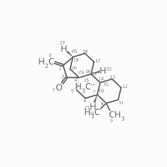 C=C1C(=O)[C@]23CC[C@H]4C(C)(C)CCC[C@]4(C)[C@H]2CC[C@@H]1C3